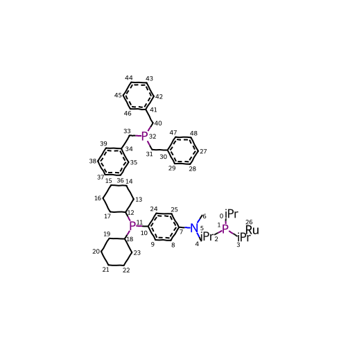 CC(C)P(C(C)C)C(C)C.CN(C)c1ccc(P(C2CCCCC2)C2CCCCC2)cc1.[Ru].c1ccc(CP(Cc2ccccc2)Cc2ccccc2)cc1